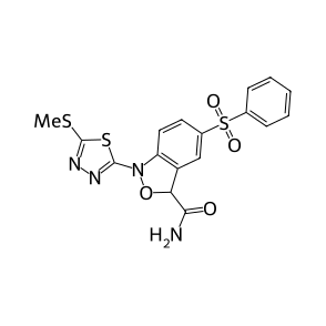 CSc1nnc(N2OC(C(N)=O)c3cc(S(=O)(=O)c4ccccc4)ccc32)s1